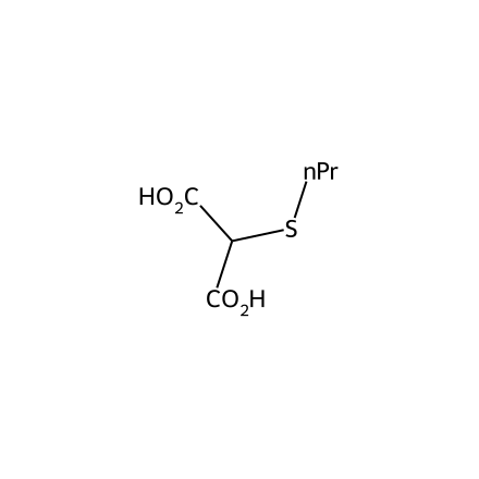 CCCSC(C(=O)O)C(=O)O